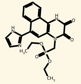 CCOP(=O)(Cn1c(=O)c(=O)[nH]c2c3ccccc3c(-c3ncc[nH]3)cc21)OCC